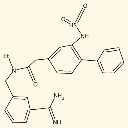 CCN(Cc1cccc(C(=N)N)c1)C(=O)Cc1ccc(-c2ccccc2)c(N[SH](=O)=O)c1